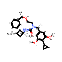 CCOc1cc([C@@H](C)N(CCO[C@@H](C)c2ccccc2)C(=O)N[C@]2(C(=O)O)C[C@H](OC)C2)cc(OCC)c1C1CC1